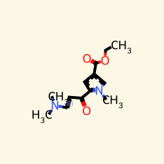 CCOC(=O)c1cc(C(=O)/C=C/N(C)C)n(C)c1